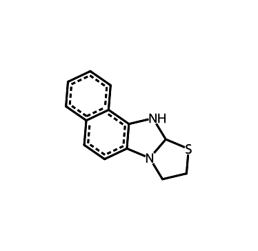 c1ccc2c3c(ccc2c1)N1CCSC1N3